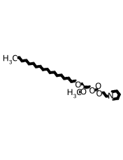 CCCCCCCCCCCCCCCCCCOC[C@@H](COC(=O)OCCN1CCCCC1)OC